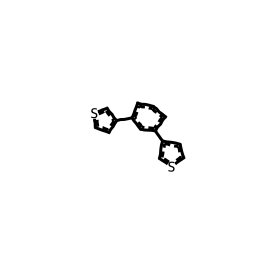 c1cc(-c2ccsc2)cc(-c2ccsc2)c1